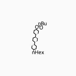 CCCCCC[C@H]1CC[C@H]([C@H]2CC[C@H]([C@H]3CC[C@H](OC(=O)CCCC)CC3)CC2)CC1